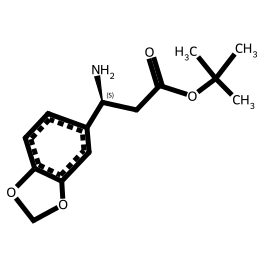 CC(C)(C)OC(=O)C[C@H](N)c1ccc2c(c1)OCO2